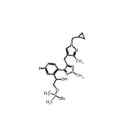 Cc1nn(CC2CC2)cc1Cc1nn(C)nc1-c1ccc(F)cc1C(O)CO[Si](C)(C)C(C)(C)C